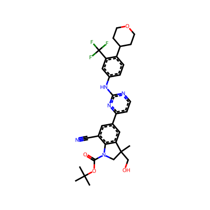 CC(C)(C)OC(=O)N1CC(C)(CO)c2cc(-c3ccnc(Nc4ccc(C5CCOCC5)c(C(F)(F)F)c4)n3)cc(C#N)c21